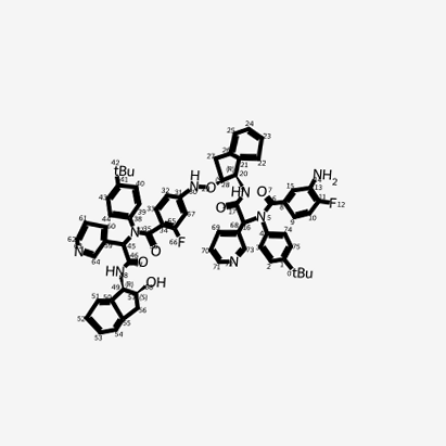 CC(C)(C)c1ccc(N(C(=O)c2ccc(F)c(N)c2)C(C(=O)N[C@@H]2c3ccccc3C[C@@H]2ONc2ccc(C(=O)N(c3ccc(C(C)(C)C)cc3)C(C(=O)N[C@@H]3c4ccccc4C[C@@H]3O)c3cccnc3)c(F)c2)c2cccnc2)cc1